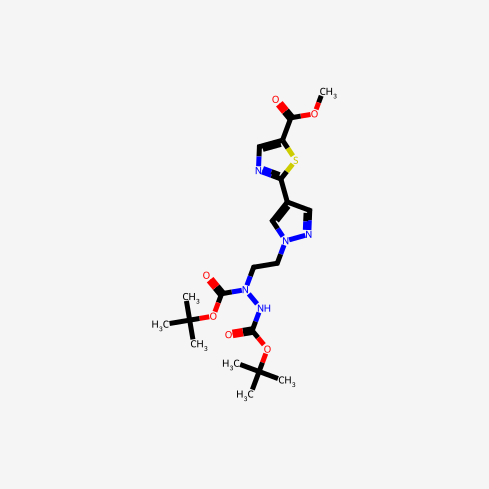 COC(=O)c1cnc(-c2cnn(CCN(NC(=O)OC(C)(C)C)C(=O)OC(C)(C)C)c2)s1